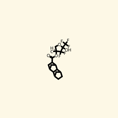 CC1(OC(=O)C2CC3CC2C2C4CCC(C4)C32)COC(O)(C(F)(F)F)C1(F)F